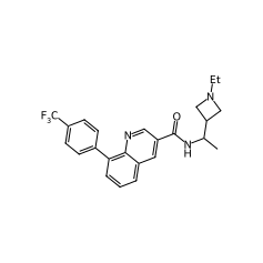 CCN1CC(C(C)NC(=O)c2cnc3c(-c4ccc(C(F)(F)F)cc4)cccc3c2)C1